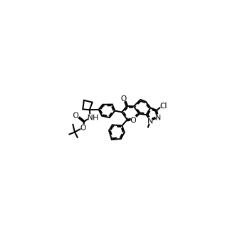 Cn1nc(Cl)c2ccc3c(=O)c(-c4ccc(C5(NC(=O)OC(C)(C)C)CCC5)cc4)c(-c4ccccc4)oc3c21